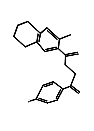 C=C(CCC(=C)c1cc2c(cc1C)CCCC2)c1ccc(F)cc1